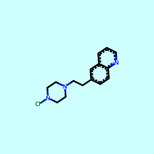 ClN1CCN(CCc2ccc3ncccc3c2)CC1